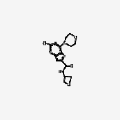 O=C(NC1COC1)c1cc2nc(Cl)nc(N3CCOCC3)c2s1